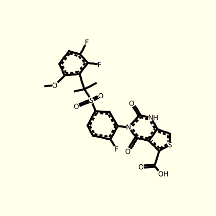 COc1ccc(F)c(F)c1C(C)(C)S(=O)(=O)c1ccc(F)c(-n2c(=O)[nH]c3csc(C(=O)O)c3c2=O)c1